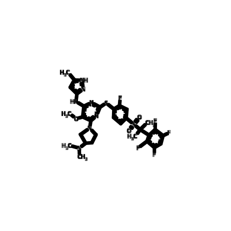 COc1c(Nc2cc(C)[nH]n2)nc(Sc2ccc(S(=O)(=O)C(C)(C)c3c(F)c(F)cc(F)c3F)cc2F)nc1N1CCC(N(C)C)C1